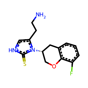 NCCc1c[nH]c(=S)n1[C@H]1COc2c(F)cccc2C1